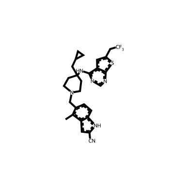 Cc1c(CN2CCC(CC3CC3)(Nc3ncnc4sc(CC(F)(F)F)cc34)CC2)ccc2[nH]c(C#N)cc12